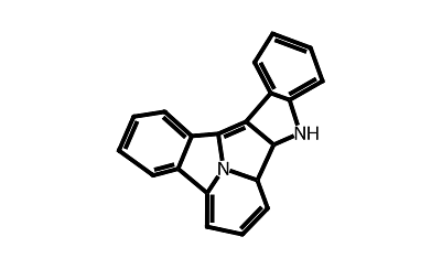 C1=CC2C3Nc4ccccc4C3=c3c4ccccc4c(n32)=C1